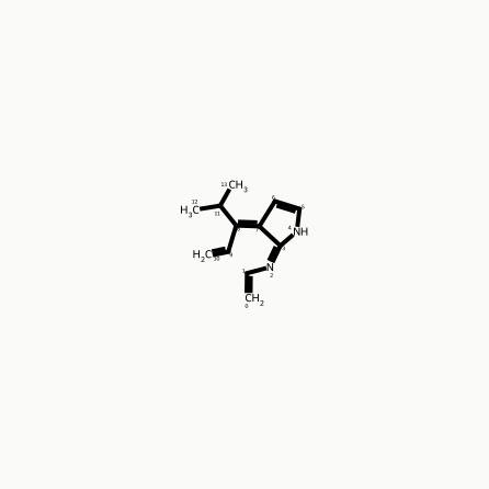 C=C/N=C1/NC=C/C1=C(/C=C)C(C)C